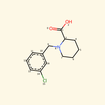 O=C(O)C1CCCCN1Cc1cccc(Cl)c1